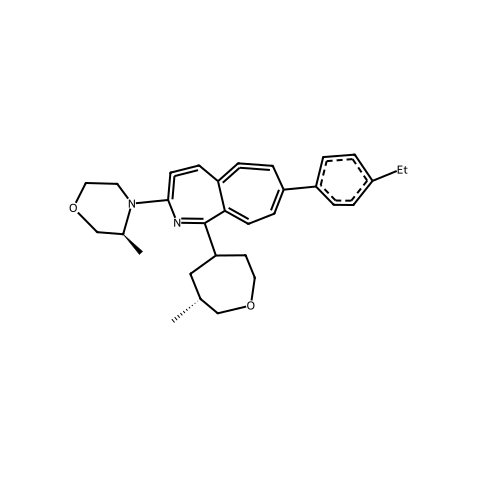 CCc1ccc(C2=CC=C3C(=C=C2)C=C=C(N2CCOC[C@@H]2C)N=C3C2CCOC[C@H](C)C2)cc1